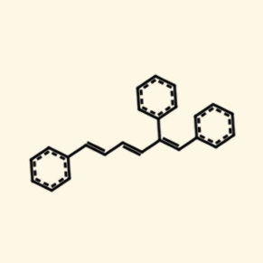 C(C=Cc1ccccc1)=CC(=Cc1ccccc1)c1ccccc1